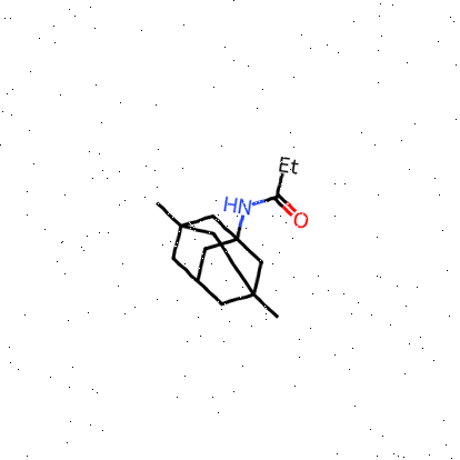 CCC(=O)NC12CC3CC(C)(CC(C)(C3)C1)C2